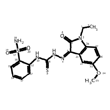 CCN1C(=O)C(=NNC(=S)Nc2ccccc2S(N)(=O)=O)c2cc(OC)ccc21